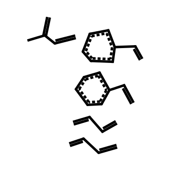 C=CC(=C)C.C=CC=C.C=CC=C.C=Cc1ccccc1.C=Cc1ccccc1